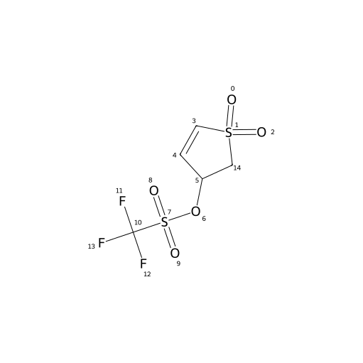 O=S1(=O)C=CC(OS(=O)(=O)C(F)(F)F)C1